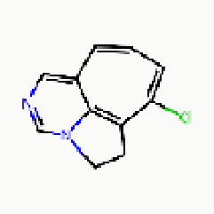 ClC1=CC=CC2=CN=CN3CCC1=C23